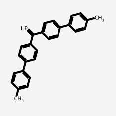 Cc1ccc(-c2ccc(C(=P)c3ccc(-c4ccc(C)cc4)cc3)cc2)cc1